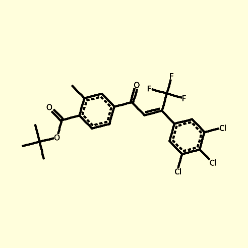 Cc1cc(C(=O)C=C(c2cc(Cl)c(Cl)c(Cl)c2)C(F)(F)F)ccc1C(=O)OC(C)(C)C